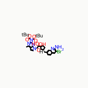 Cc1nc(N(C(=O)OC(C)(C)C)C(=O)OC(C)(C)C)nc2c1ccn2[C@@H]1O[C@@H]2[C@H](Cc3ccc4cc(Br)c(N)nc4c3)CC[C@]2(O)[C@H]1O